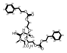 CN(CC(=O)O)C(=N)NP(=O)(OCCOC(=O)OCCc1ccccc1)OCCOC(=O)OCCc1ccccc1